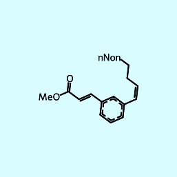 CCCCCCCCCCC/C=C\c1cccc(/C=C/C(=O)OC)c1